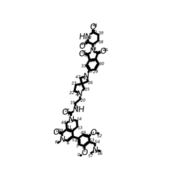 COc1cc(-c2cn(C)c(=O)c3c2CCN(C(=O)NCCN2CCC4(C2)CN(c2ccc5c(c2)C(=O)N(C2CCC(=O)NC2=O)C5=O)C4)C3)cc(OC)c1CN(C)C